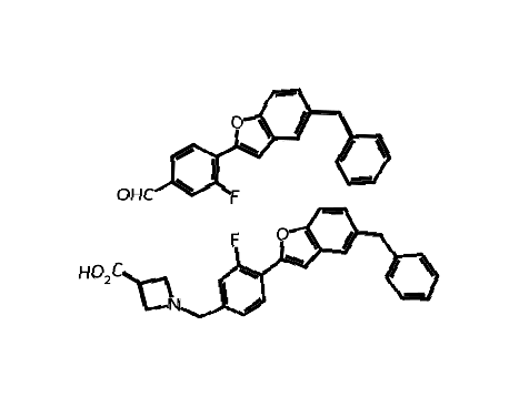 O=C(O)C1CN(Cc2ccc(-c3cc4cc(Cc5ccccc5)ccc4o3)c(F)c2)C1.O=Cc1ccc(-c2cc3cc(Cc4ccccc4)ccc3o2)c(F)c1